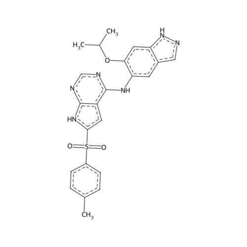 Cc1ccc(S(=O)(=O)c2cc3c(Nc4cc5cn[nH]c5cc4OC(C)C)ncnc3[nH]2)cc1